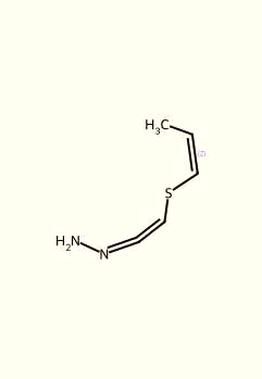 C/C=C\SC=C=NN